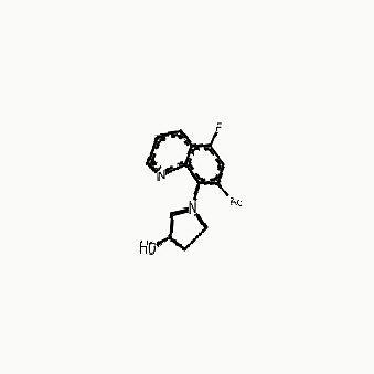 CC(=O)c1cc(F)c2cccnc2c1N1CC[C@@H](O)C1